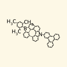 Cc1cc(C)c(B2c3cccc4c3-c3c2ccc2ccc5c(c32)c2c-4cccc2n5-c2ccc3c4ccccc4c4ccccc4c3c2)c(C)c1